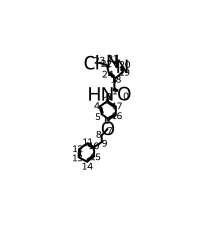 O=C(Nc1ccc(OCCc2ccccc2)cc1)c1cnnc(Cl)c1